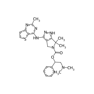 Cc1nc(Nc2n[nH]c3c2CN(C(=O)OC(CN(C)C)c2ccccc2)C3(C)C)c2sccc2n1